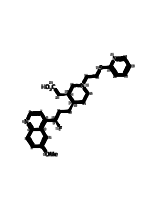 COc1ccc2nccc([C@H](F)CC[C@@H]3CCN(CCSc4ccccn4)C[C@@H]3CC(=O)O)c2c1